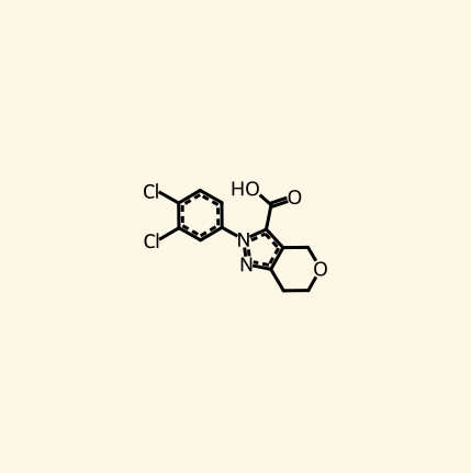 O=C(O)c1c2c(nn1-c1ccc(Cl)c(Cl)c1)CCOC2